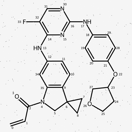 C=CC(=O)N1CC2(CC2)c2ccc(Nc3nc(Nc4ccc(OC5CCOC5)cc4)ncc3F)cc21